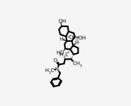 CC(CCC(=O)N(C)Cc1ccccc1)[C@H]1CC[C@H]2C3[C@H](O)CC4C[C@H](O)CC[C@]4(C)[C@H]3C[C@H](O)[C@]12C